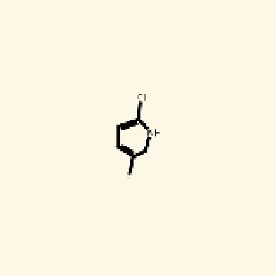 FC1=[C]C=C(Cl)NC1